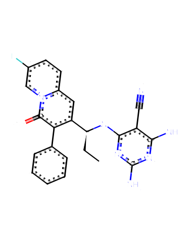 CC[C@H](Nc1nc(N)nc(N)c1C#N)c1cc2ccc(F)cn2c(=O)c1-c1ccccc1